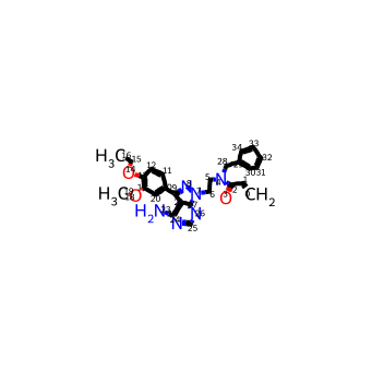 C=CC(=O)N(CCn1nc(-c2ccc(OCC)c(OC)c2)c2c(N)ncnc21)Cc1ccccc1